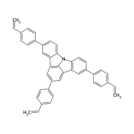 C=Cc1ccc(-c2ccc3c(c2)c2cc(-c4ccc(C=C)cc4)cc4c5cc(-c6ccc(C=C)cc6)ccc5n3c24)cc1